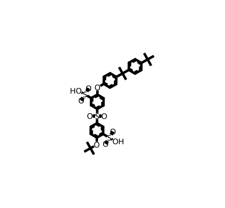 CC(C)(C)Oc1ccc(S(=O)(=O)c2ccc(Oc3ccc(C(C)(C)c4ccc(C(C)(C)C)cc4)cc3)c(S(=O)(=O)O)c2)cc1S(=O)(=O)O